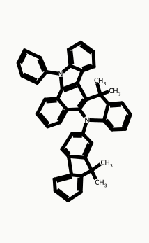 CC1(C)c2ccccc2-c2ccc(N3c4ccccc4C(C)(C)c4c3c3ccccc3c3c4c4ccccc4n3-c3ccccc3)cc21